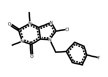 Cn1c(=O)c2c(nc(Cl)n2Cc2ccc(F)cc2)n(C)c1=O